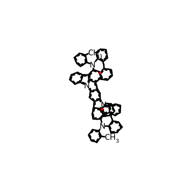 Cc1ccccc1N(c1ccccc1-c1ccccc1)c1ccc2c3cc4c(cc3n3c5ccccc5c1c23)c1ccc(N(c2ccccc2C)c2ccccc2-c2ccccc2)c2c3ccccc3n4c12